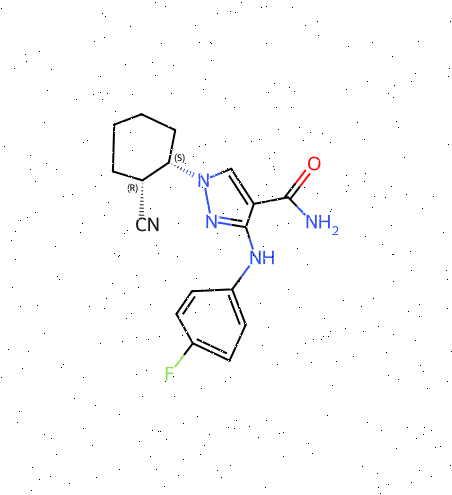 N#C[C@@H]1CCCC[C@@H]1n1cc(C(N)=O)c(Nc2ccc(F)cc2)n1